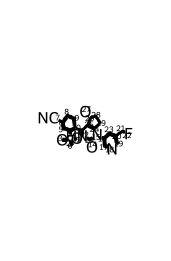 CS(=O)(=O)c1cc(C#N)ccc1C1NC(=O)N(c2cncc(CF)c2)C2=C1C(=O)CC2